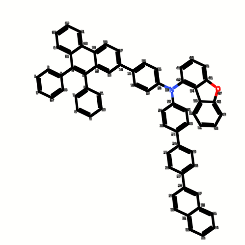 c1ccc(-c2c(-c3ccccc3)c3cc(-c4ccc(N(c5ccc(-c6ccc(-c7ccc8ccccc8c7)cc6)cc5)c5cccc6oc7ccccc7c56)cc4)ccc3c3ccccc23)cc1